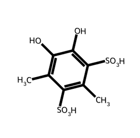 Cc1c(O)c(O)c(S(=O)(=O)O)c(C)c1S(=O)(=O)O